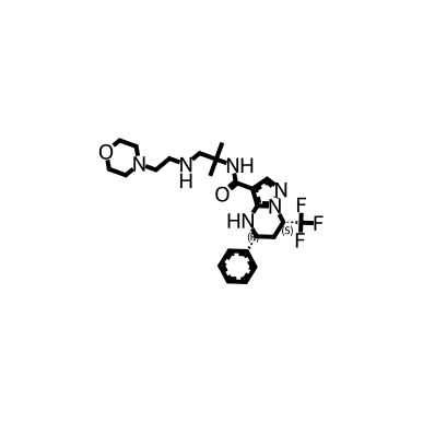 CC(C)(CNCCN1CCOCC1)NC(=O)c1cnn2c1N[C@@H](c1ccccc1)C[C@H]2C(F)(F)F